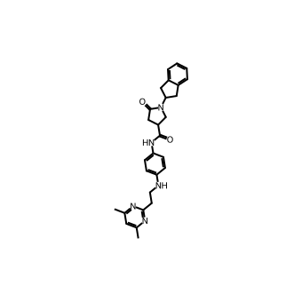 Cc1cc(C)nc(CCNc2ccc(NC(=O)C3CC(=O)N(C4Cc5ccccc5C4)C3)cc2)n1